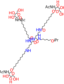 CC(=O)NC1C(OCCCCCCCCCCCCNCCCCC(NC(=O)CCCCCCCCCCCOC2OC(CO)C(O)C(O)C2NC(C)=O)C(=O)NC(CCCCNC(=O)CCCCCCCCCCOC2OC(CO)C(O)C(O)C2NC(C)=O)C(=O)NCCCCCCOC(C)C)OC(CO)C(O)C1O